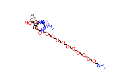 C[C@H](O)C1C[C@H]2OCC(=O)N(CCOCCOCCOCCOCCOCCOCCOCCOCCOCCOCCN)/N=C(/N)c3ncn(c3N)[C@@H]2O1